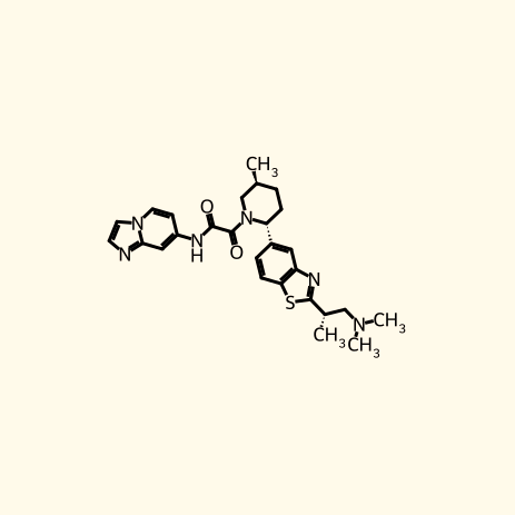 C[C@H]1CC[C@H](c2ccc3sc([C@@H](C)CN(C)C)nc3c2)N(C(=O)C(=O)Nc2ccn3ccnc3c2)C1